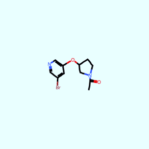 CC(=O)N1CCC(Oc2cncc(Br)c2)C1